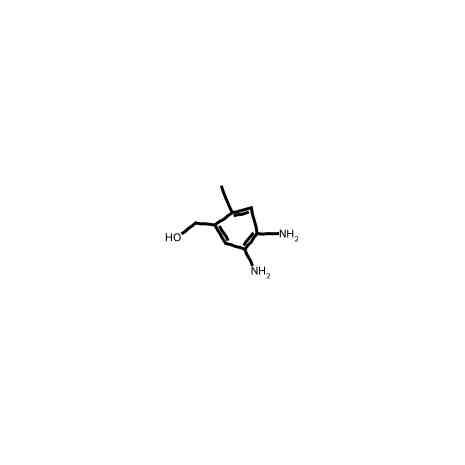 Cc1cc(N)c(N)cc1CO